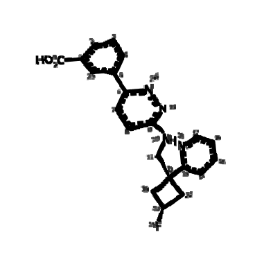 O=C(O)c1cccc(-c2ccc(NC[C@]3(c4ccccn4)C[C@H](F)C3)nn2)c1